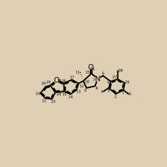 Cc1cc(C)c(CN2CC[C@@](C)(c3ccc4c(c3)oc3ccccc34)C2=O)c(C)c1